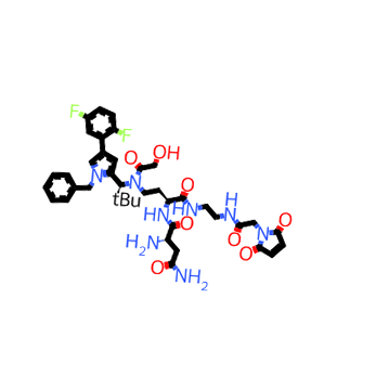 CC(C)(C)[C@H](c1cc(-c2cc(F)ccc2F)cn1Cc1ccccc1)N(CC[C@H](NC(=O)[C@@H](N)CC(N)=O)C(=O)NCCNC(=O)CN1C(=O)C=CC1=O)C(=O)CO